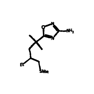 CCC(CSC)CC(C)(C)c1nc(N)no1